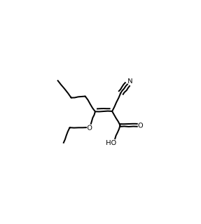 CCC/C(OCC)=C(\C#N)C(=O)O